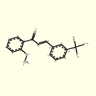 COc1ccccc1C(=O)C=Cc1cccc(C(F)(F)F)c1